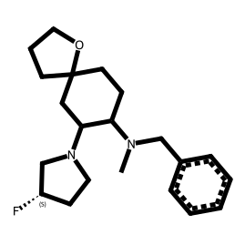 CN(Cc1ccccc1)C1CCC2(CCCO2)CC1N1CC[C@H](F)C1